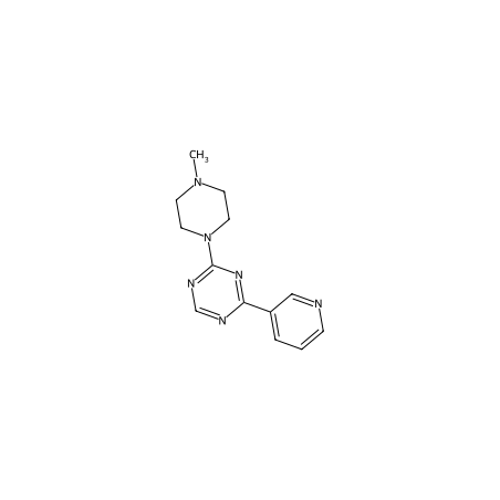 CN1CCN(c2ncnc(-c3cccnc3)n2)CC1